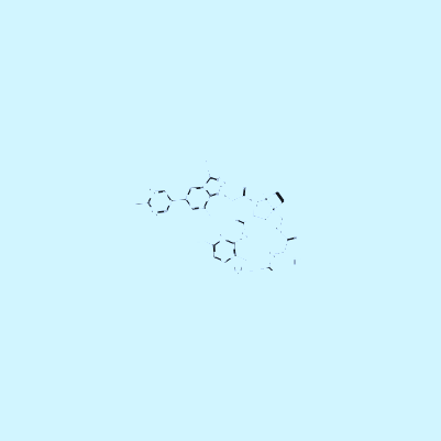 COC(=O)N[C@H](C(=O)NC[C@]12C#C[C@H]1N(C(=O)Cn1nc(C(C)=O)c3cc(-c4cnc(C)nc4)cc(C)c31)[C@H](C(=O)Nc1nc(Br)ccc1C)C2)C(C)C